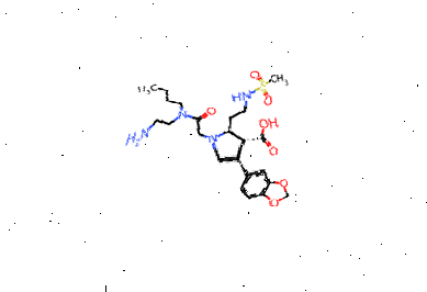 CCCCN(CCN)C(=O)CN1C[C@H](c2ccc3c(c2)OCO3)[C@@H](C(=O)O)[C@@H]1CCNS(C)(=O)=O